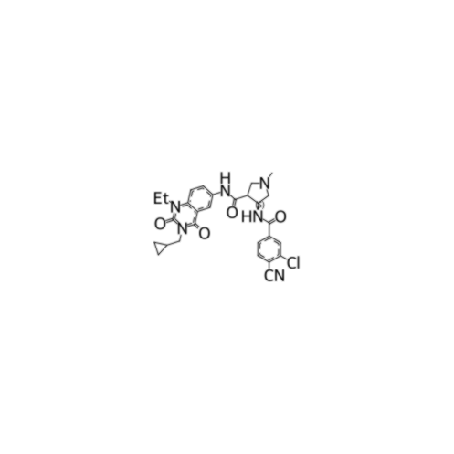 CCn1c(=O)n(CC2CC2)c(=O)c2cc(NC(=O)C3CN(C)C[C@H]3NC(=O)c3ccc(C#N)c(Cl)c3)ccc21